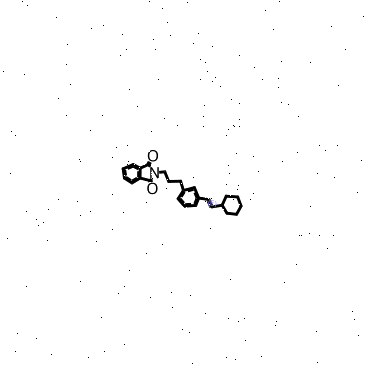 O=C1c2ccccc2C(=O)N1CCCc1cccc(/C=C/C2CCCCC2)c1